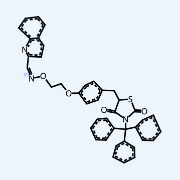 O=C1SC(Cc2ccc(OCCO/N=C\c3ccc4ccccc4n3)cc2)C(=O)N1C(c1ccccc1)(c1ccccc1)c1ccccc1